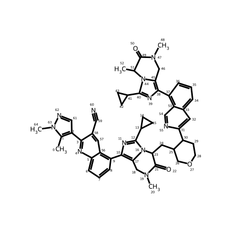 Cc1c(-c2nc3cccc(-c4nc(C5CC5)n5c4CN(C)C(=O)C5CC4COCCC4c4cc5cccc(-c6nc(C7CC7)n7c6CN(C)C(=O)C7C)c5cn4)c3cc2C#N)cnn1C